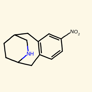 O=[N+]([O-])c1ccc2c(c1)CC1CCC(C2)NC1